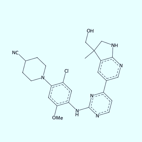 COc1cc(N2CCC(C#N)CC2)c(Cl)cc1Nc1nccc(-c2cnc3c(c2)C(C)(CO)CN3)n1